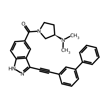 CN(C)[C@@H]1CCN(C(=O)c2ccc3[nH]nc(C#Cc4cccc(-c5ccccc5)c4)c3c2)C1